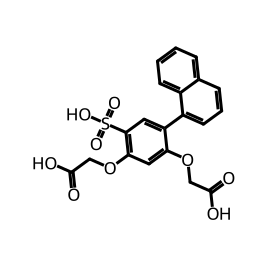 O=C(O)COc1cc(OCC(=O)O)c(S(=O)(=O)O)cc1-c1cccc2ccccc12